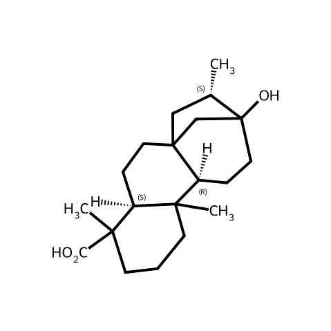 C[C@H]1CC23CC[C@@H]4C(C)(C(=O)O)CCCC4(C)[C@@H]2CCC1(O)C3